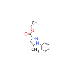 CCOC(=O)c1cc(C)n(-c2ccccc2)n1